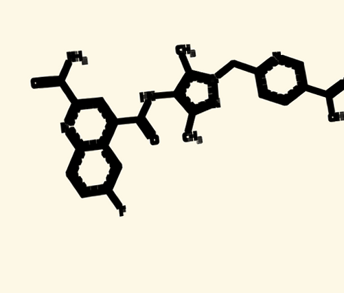 Cc1nn(Cc2ccc(C(=O)O)cn2)c(C)c1NC(=O)c1cc(C(N)=O)nc2ccc(F)cc12